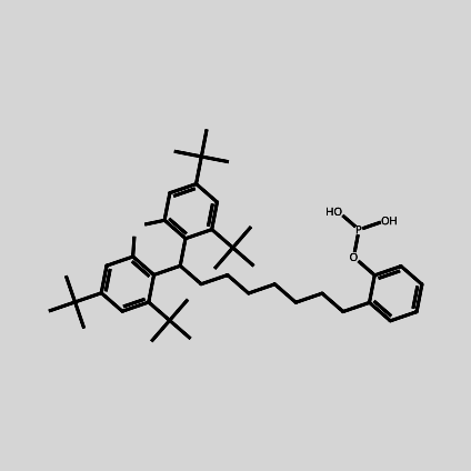 Cc1cc(C(C)(C)C)cc(C(C)(C)C)c1C(CCCCCCCc1ccccc1OP(O)O)c1c(C)cc(C(C)(C)C)cc1C(C)(C)C